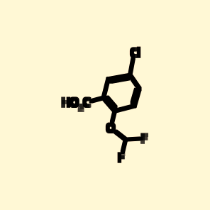 O=C(O)c1cc(Cl)ccc1OC(F)F